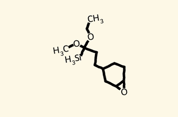 CCOC([SiH3])(CCC1CCC2OC2C1)OC